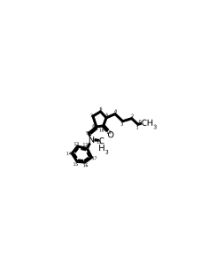 CCCCCC1CCC(=CN(C)c2ccccc2)C1=O